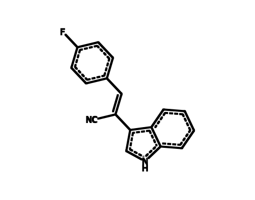 N#CC(=Cc1ccc(F)cc1)c1c[nH]c2ccccc12